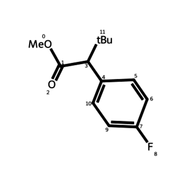 COC(=O)C(c1ccc(F)cc1)C(C)(C)C